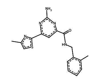 Cc1csc(-c2cc(C(=O)NCc3ccccc3C)nc(N)n2)n1